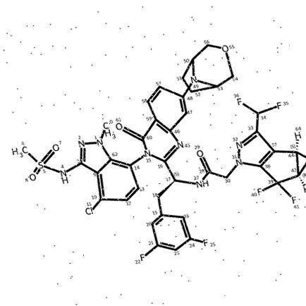 Cn1nc(NS(C)(=O)=O)c2c(Cl)ccc(-n3c([C@H](Cc4cc(F)cc(F)c4)NC(=O)Cn4nc(C(F)F)c5c4C(F)(F)[C@@H]4C[C@H]54)nc4cc(N5C6CCC5COC6)ccc4c3=O)c21